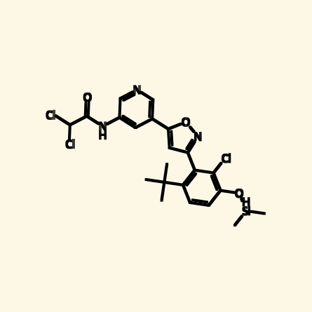 C[SiH](C)Oc1ccc(C(C)(C)C)c(-c2cc(-c3cncc(NC(=O)C(Cl)Cl)c3)on2)c1Cl